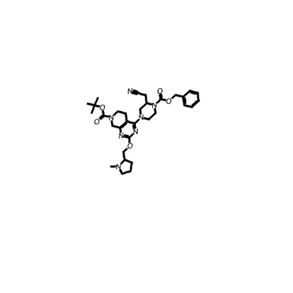 CN1CCCC1COc1nc2c(c(N3CCN(C(=O)OCc4ccccc4)C(CC#N)C3)n1)CCN(C(=O)OC(C)(C)C)C2